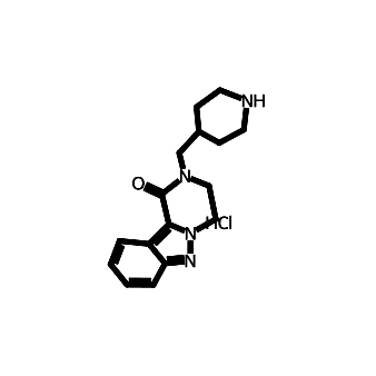 Cl.O=C1c2c3ccccc3nn2CCN1CC1CCNCC1